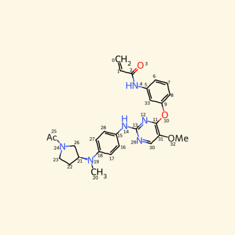 C=CC(=O)Nc1cccc(Oc2nc(Nc3ccc(N(C)[C@H]4CCN(C(C)=O)C4)cc3)ncc2OC)c1